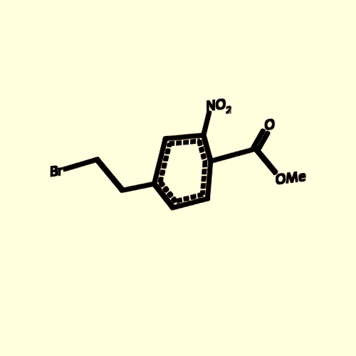 COC(=O)c1ccc(CCBr)cc1[N+](=O)[O-]